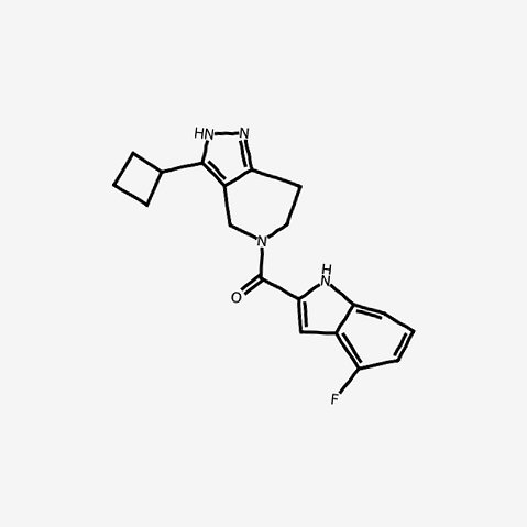 O=C(c1cc2c(F)cccc2[nH]1)N1CCc2n[nH]c(C3CCC3)c2C1